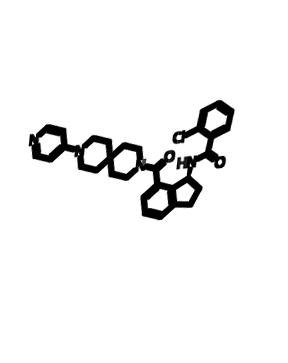 O=C(N[C@H]1CCc2cccc(C(=O)N3CCC4(CC3)CCN(c3ccncc3)CC4)c21)c1ccccc1Cl